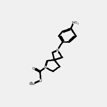 CC(C)(C)OC(=O)N1CCC2(C1)CN(c1ccc([N+](=O)[O-])cc1)C2